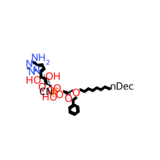 CCCCCCCCCCCCCCCCCCOC[C@H](COP(=O)(O)OC[C@@H](OC#N)[C@@H](O)[C@@H](O)c1ccc2c(N)ncnn12)OC(C)c1ccccc1